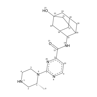 C[C@@H]1CNCCN1c1nccc(C(=O)NC2C3CC4CC2CC(O)(C4)C3)n1